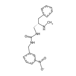 CN[C@H](CNC(=O)NCc1cccc([N+](=O)[O-])c1)Cc1ccccc1